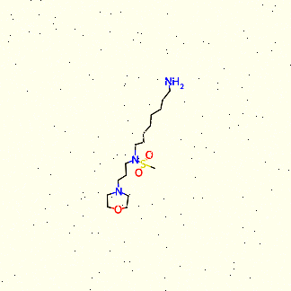 CS(=O)(=O)N(CCCCCCCCN)CCCN1CCOCC1